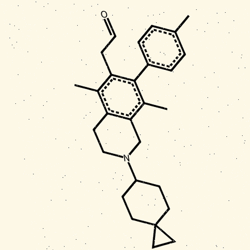 Cc1ccc(-c2c(C)c3c(c(C)c2CC=O)CCN(C2CCC4(CC2)CC4)C3)cc1